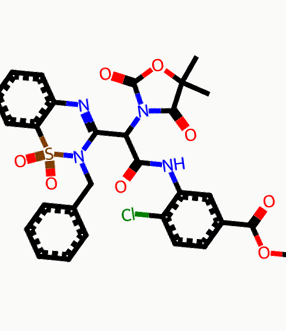 COC(=O)c1ccc(Cl)c(NC(=O)C(C2=Nc3ccccc3S(=O)(=O)N2Cc2ccccc2)N2C(=O)OC(C)(C)C2=O)c1